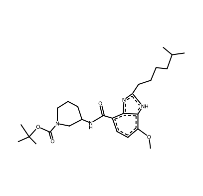 COc1ccc(C(=O)NC2CCCN(C(=O)OC(C)(C)C)C2)c2nc(CCCCC(C)C)[nH]c12